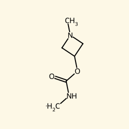 [CH2]NC(=O)OC1CN(C)C1